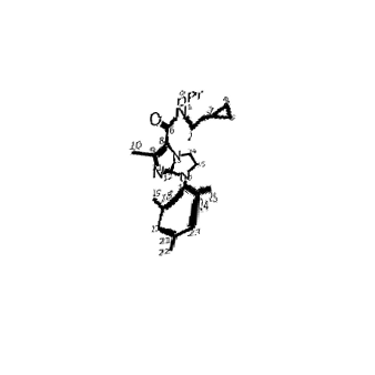 CCCN(CC1CC1)C(=O)c1c(C)nc2n1CCN2c1c(C)cc(C)cc1C